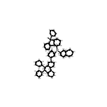 CC1(c2ccccc2)c2ccccc2-c2c(N(c3cccc(-c4ccc5c(c4)c(-c4ccccc4)c(-c4ccccc4)c4ccccc45)c3)c3ccc4ccccc4c3)cccc21